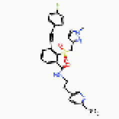 Cn1ccc(CS(=O)(=O)c2c(C#Cc3ccc(F)cc3)cccc2C(=O)NCCc2ccc([N+](=O)[O-])nc2)n1